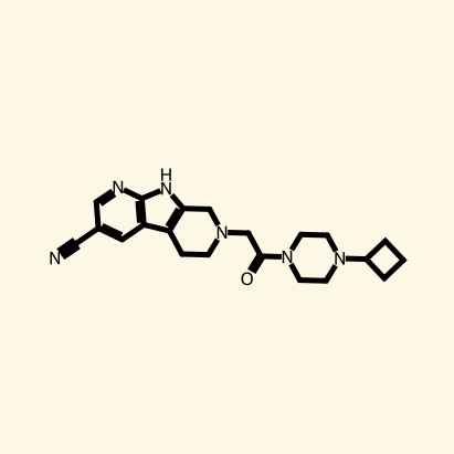 N#Cc1cnc2[nH]c3c(c2c1)CCN(CC(=O)N1CCN(C2CCC2)CC1)C3